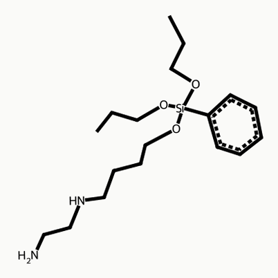 CCCO[Si](OCCC)(OCCCCNCCN)c1ccccc1